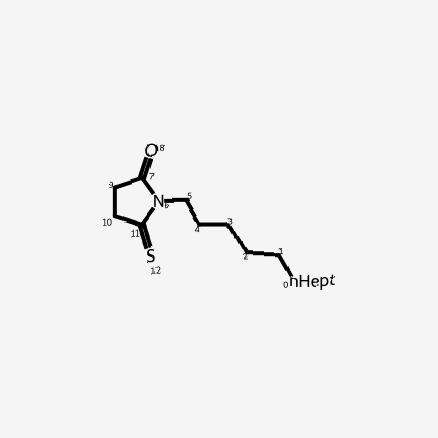 CCCCCCCCCCCCN1C(=O)CCC1=S